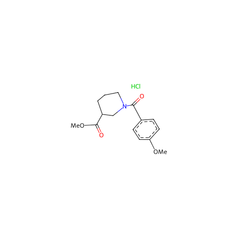 COC(=O)C1CCCN(C(=O)c2ccc(OC)cc2)C1.Cl